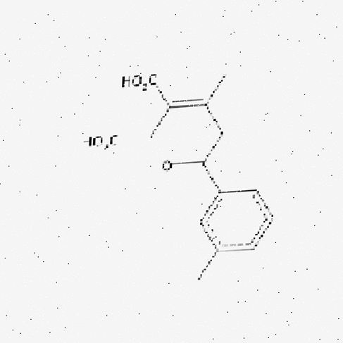 CC(CC(=O)c1cccc(C)c1)=C(CC(=O)O)C(=O)O